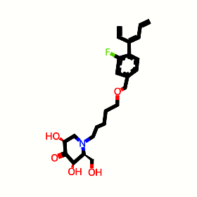 C=C/C=C(\C=C)c1ccc(COCCCCCN2C[C@H](O)C(=O)[C@H](O)[C@@H]2CO)cc1F